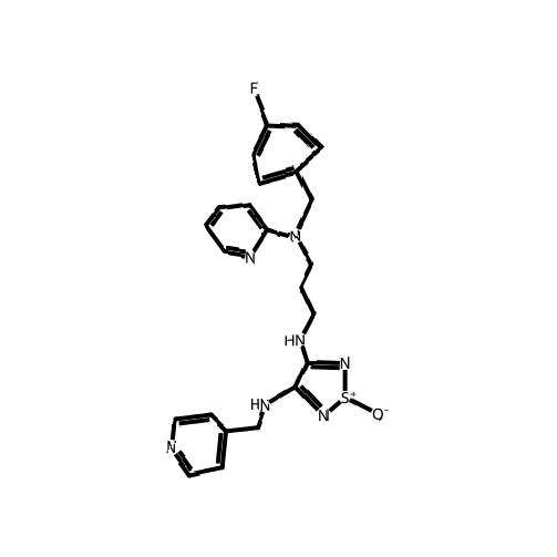 [O-][s+]1nc(NCCCN(Cc2ccc(F)cc2)c2ccccn2)c(NCc2ccncc2)n1